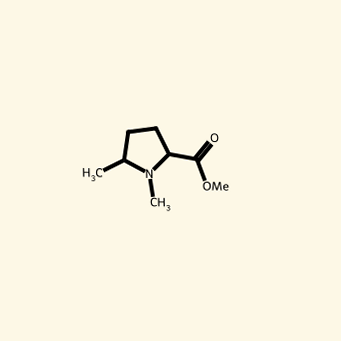 COC(=O)C1CCC(C)N1C